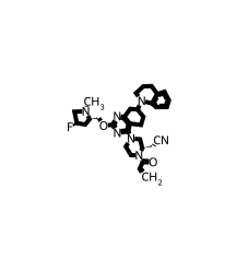 C=CC(=O)N1CCN(c2nc(OC[C@@H]3C[C@@H](F)CN3C)nc3c2CCC(N2CCCc4ccccc42)C3)C[C@@H]1CC#N